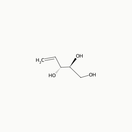 C=C[C@@H](O)[C@@H](O)CO